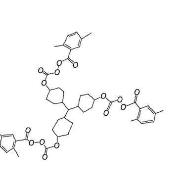 Cc1ccc(C)c(C(=O)OOC(=O)OC2CCC(C(C3CCC(OC(=O)OOC(=O)c4cc(C)ccc4C)CC3)C3CCC(OC(=O)OOC(=O)c4cc(C)ccc4C)CC3)CC2)c1